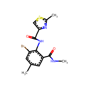 CNC(=O)c1cc(C)cc(Br)c1NC(=O)c1csc(C)n1